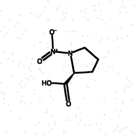 O=C(O)[C@@H]1CCCN1[N+](=O)[O-]